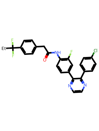 CCC(F)(F)c1ccc(CC(=O)Nc2ccc(-c3nccnc3-c3ccc(Cl)cc3)cc2F)cc1